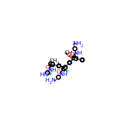 CCOC[C@]12CC3(C(=O)N[C@H]4CC[C@H](CN)CC4)CC(C[C@](c4ccccc4)(C3)C1)C2c1ccc([C@@]23CC4(C(=O)N[C@H]5CC[C@H](CN)CC5)CC(c5ccc([C@]67CC8CC(C(=O)N[C@H]9CCNC[C@@H]9F)(C[C@](C)(C8)C6)C7)cc5)(C[C@@](CF)(C4)C2)C3)cc1